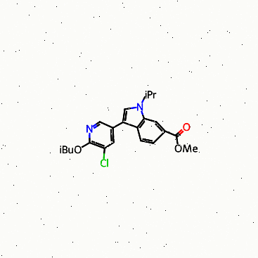 COC(=O)c1ccc2c(-c3cnc(OCC(C)C)c(Cl)c3)cn(C(C)C)c2c1